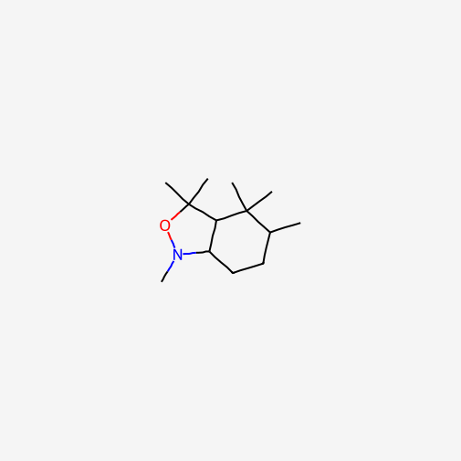 CC1CCC2C(C(C)(C)ON2C)C1(C)C